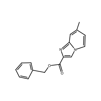 Cc1ccn2cc(C(=O)OCc3ccccc3)nc2c1